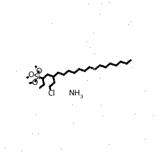 CCCCCCCCCCCCCCCC(CCCl)CC(CC)[Si](OC)(OC)OC.N